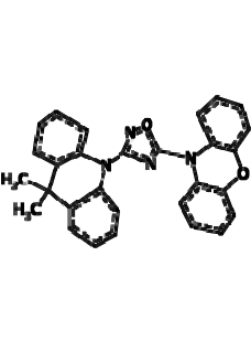 CC1(C)c2ccccc2N(c2noc(N3c4ccccc4Oc4ccccc43)n2)c2ccccc21